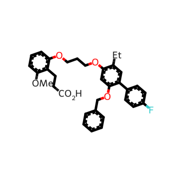 CCc1cc(-c2ccc(F)cc2)c(OCc2ccccc2)cc1OCCCOc1cccc(OC)c1CCC(=O)O